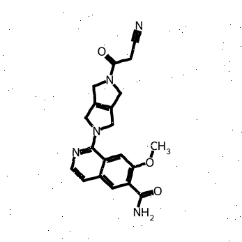 COc1cc2c(N3CC4=C(CN(C(=O)CC#N)C4)C3)nccc2cc1C(N)=O